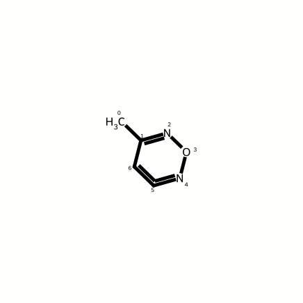 CC1=NON=C=C1